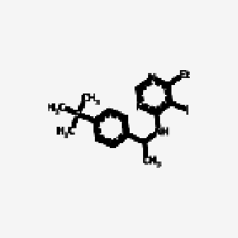 CCc1ncnc(NC(C)c2ccc([Si](C)(C)C)cc2)c1I